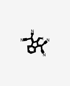 N#CC(C#N)=C1C(=CI)C(=C(C#N)C#N)c2ccccc21